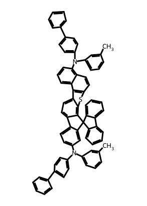 Cc1cccc(N(c2ccc(-c3ccccc3)cc2)c2ccc3c(c2)C2(c4ccccc4-c4ccccc42)c2c-3ccc3c2sc2ccc4c(N(c5ccc(-c6ccccc6)cc5)c5cccc(C)c5)cccc4c23)c1